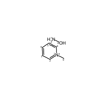 C[n+]1ccccc1.NO